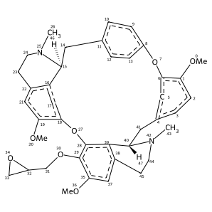 COc1ccc2cc1Oc1ccc(cc1)C[C@H]1c3cc(c(OC)cc3CCN1C)Oc1c(OCC3CO3)c(OC)cc3c1[C@H](C2)N(C)CC3